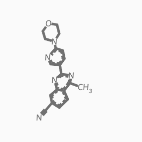 Cc1nc(-c2ccc(N3CCOCC3)nc2)nc2cc(C#N)ccc12